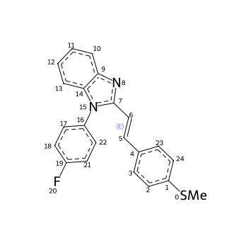 CSc1ccc(/C=C/c2nc3ccccc3n2-c2ccc(F)cc2)cc1